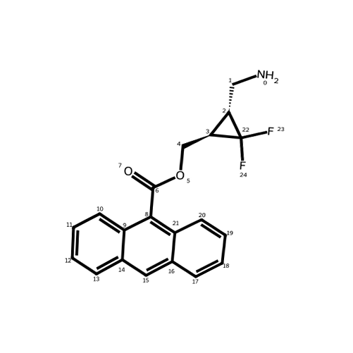 NC[C@H]1[C@H](COC(=O)c2c3ccccc3cc3ccccc23)C1(F)F